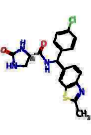 Cc1nc2ccc(C(NC(=O)[C@@H]3CNC(=O)N3)c3ccc(Cl)cc3)cc2s1